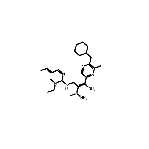 C/C=C/C=N\C(NC/C(=C(/N)c1cnc(CC2CCCCC2)c(C)n1)N(C)N)N(C)CC